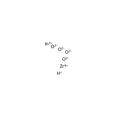 [H+].[In+3].[O-2].[O-2].[O-2].[O-2].[Zr+4]